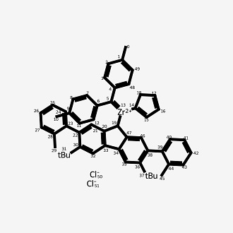 Cc1ccc([C](c2ccc(C)cc2)=[Zr+2]([C]2=CC=CC2)[CH]2c3cc(-c4ccccc4C)c(C(C)(C)C)cc3-c3cc(C(C)(C)C)c(-c4ccccc4C)cc32)cc1.[Cl-].[Cl-]